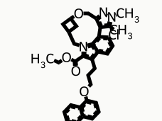 CCOC(=O)c1c(CCCOc2cccc3ccccc23)c2ccc(Cl)c3c2n1CC1CC(C1)OCc1nn(C)c(C)c1-3